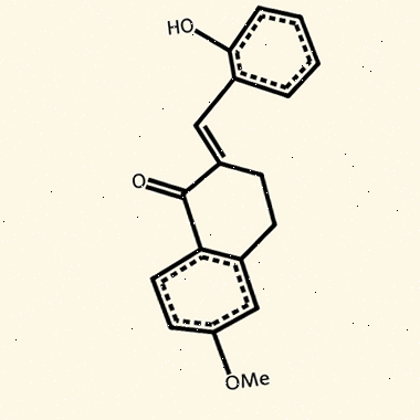 COc1ccc2c(c1)CCC(=Cc1ccccc1O)C2=O